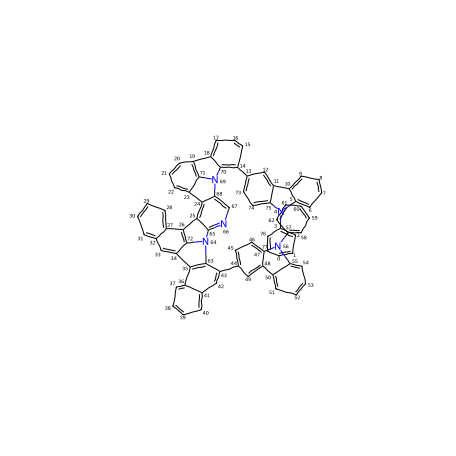 c1ccc(-n2c3ccccc3c3cc(-c4cccc5c6cccc7c8c9c%10c%11ccccc%11cc%11c%12c%13ccccc%13cc(-c%13ccc%14c(c%13)c%13ccccc%13n%14-c%13ccccc%13)c%12n(c9ncc8n(c45)c67)c%11%10)ccc32)cc1